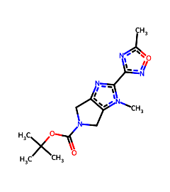 Cc1nc(-c2nc3c(n2C)CN(C(=O)OC(C)(C)C)C3)no1